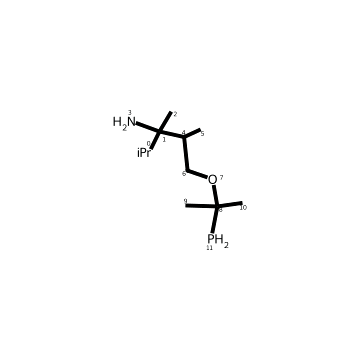 CC(C)C(C)(N)C(C)COC(C)(C)P